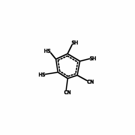 N#Cc1c(S)c(S)c(S)c(S)c1C#N